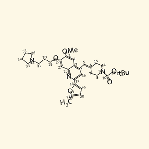 COc1cc2c(C=C3CCN(C(=O)OC(C)(C)C)CC3)cc(-c3ccc(C)o3)nc2cc1OCCCN1CCCC1